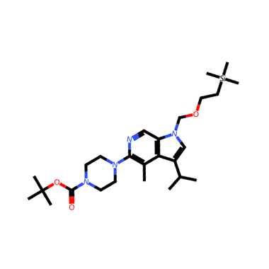 Cc1c(N2CCN(C(=O)OC(C)(C)C)CC2)ncc2c1c(C(C)C)cn2COCC[Si](C)(C)C